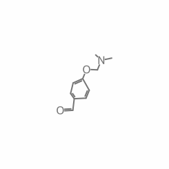 CN(C)COc1ccc(C=O)cc1